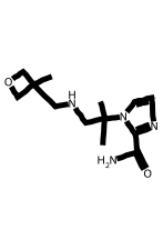 CC1(CNCC(C)(C)n2c[c]nc2C(N)=O)COC1